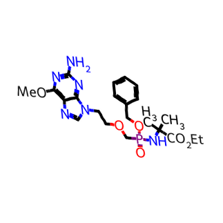 CCOC(=O)C(C)(C)NP(=O)(COCCn1cnc2c(OC)nc(N)nc21)OCc1ccccc1